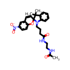 CC(=O)NCCNC(=O)CCCN1c2ccccc2C(C)(C)C12C=Cc1cc([N+](=O)[O-])ccc1O2